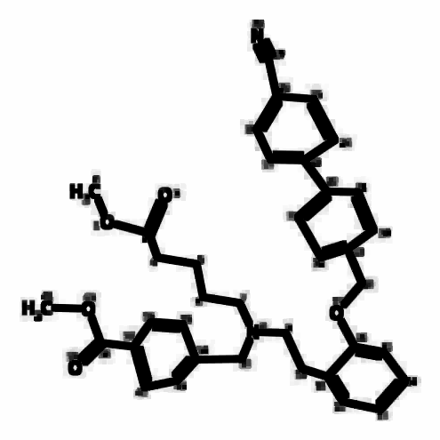 COC(=O)CCCCN(CCc1ccccc1OCc1ccc(-c2ccc(C#N)cc2)cc1)Cc1ccc(C(=O)OC)cc1